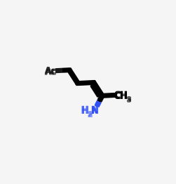 CC(=O)CCC=C(C)N